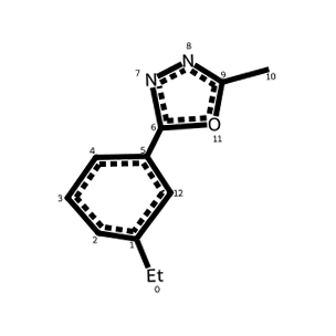 CCc1cccc(-c2nnc(C)o2)c1